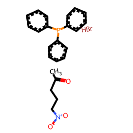 Br.CC(=O)CCC[N+](=O)[O-].c1ccc(P(c2ccccc2)c2ccccc2)cc1